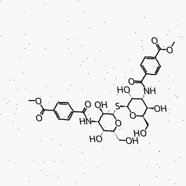 COC(=O)c1ccc(C(=O)N[C@@H]2[C@@H](O)[C@@H](CO)O[C@@H](S[C@@H]3O[C@H](CO)[C@H](O)[C@@H](NC(=O)c4ccc(C(=O)OC)cc4)[C@H]3O)[C@@H]2O)cc1